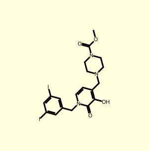 COC(=O)N1CCN(Cc2ccn(Cc3cc(I)cc(I)c3)c(=O)c2O)CC1